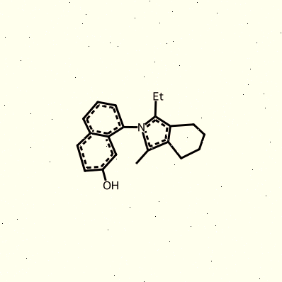 CCc1c2c(c(C)n1-c1cccc3ccc(O)cc13)CCCC2